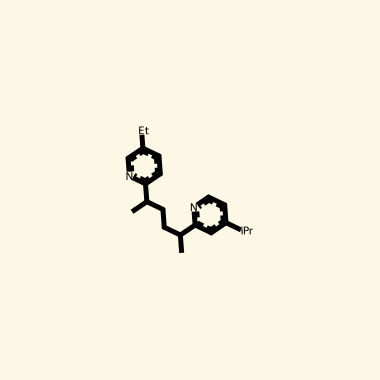 CCc1ccc(C(C)CCC(C)c2cc(C(C)C)ccn2)nc1